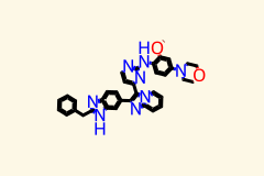 COc1cc(N2CCOCC2)ccc1Nc1nccc(-c2c(-c3ccc4nc(Cc5ccccc5)[nH]c4c3)nc3ccccn23)n1